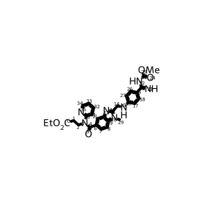 CCOC(=O)CCN(C(=O)c1ccc2c(c1)nc(CNc1ccc(C(=N)NC(=O)OC)cc1)n2C)c1ccccn1